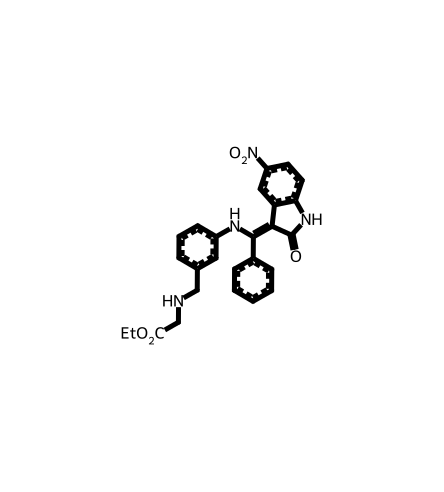 CCOC(=O)CNCc1cccc(NC(=C2C(=O)Nc3ccc([N+](=O)[O-])cc32)c2ccccc2)c1